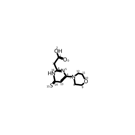 O=C(O)Cc1nc(N2CCOCC2)cc(=S)[nH]1